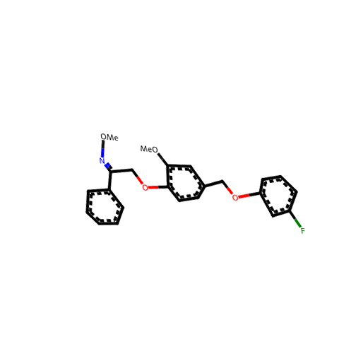 CO/N=C(\COc1ccc(COc2[c]c(F)ccc2)cc1OC)c1ccccc1